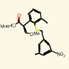 CO/C=C(/C(=O)OC)c1cccc(C)c1SCc1cc(C)cc([N+](=O)[O-])c1